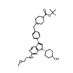 COCCNc1ncc2c(-c3ccc(CN4CCN(C(=O)OC(C)(C)C)CC4)cc3)cn([C@H]3CC[C@H](O)CC3)c2n1